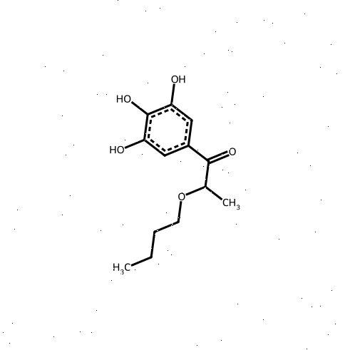 CCCCOC(C)C(=O)c1cc(O)c(O)c(O)c1